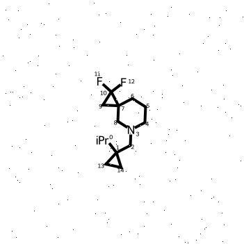 CC(C)C1(CN2CCCC3(C2)CC3(F)F)CC1